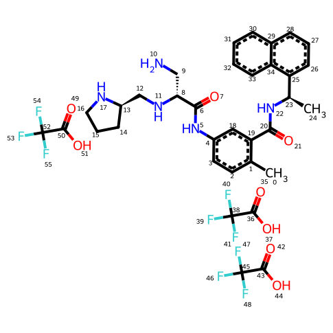 Cc1ccc(NC(=O)[C@@H](CN)NC[C@H]2CCCN2)cc1C(=O)N[C@H](C)c1cccc2ccccc12.O=C(O)C(F)(F)F.O=C(O)C(F)(F)F.O=C(O)C(F)(F)F